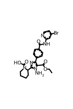 CCOC(=O)c1c(-c2ccc(C(=O)Nc3cc(Br)ccn3)cc2)nc(C2CCCCN2C(=O)O)n1N